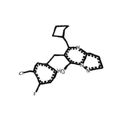 Oc1c(Cc2ccc(F)c(Cl)c2)c(C2CCC2)nc2ccnn12